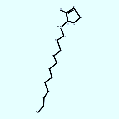 CCCCCCCCCCCCOC1CCC=C1C